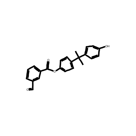 CC(C)(c1ccc(O)cc1)c1ccc(OC(=O)c2cccc(C=O)c2)cc1